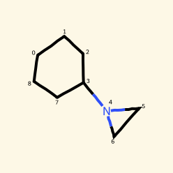 C1CCC(N2CC2)CC1